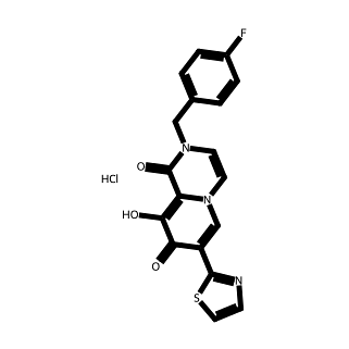 Cl.O=c1c(-c2nccs2)cn2ccn(Cc3ccc(F)cc3)c(=O)c2c1O